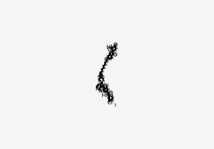 Nc1nccn2c(N3CCC4(CC3)CN(CCCCCCCCOc3ccc5c(c3)CN(C3CCC(=O)NC3=O)C5=O)C4)nc(-c3ccc(C(=O)Nc4cc(C(F)(F)F)ccn4)cc3F)c12